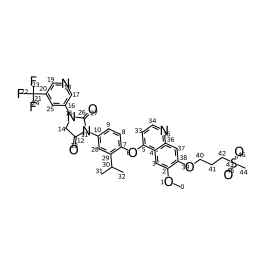 COc1cc2c(Oc3ccc(N4C(=O)CN(c5cncc(C(F)(F)F)c5)C4=O)cc3C(C)C)ccnc2cc1OCCCS(C)(=O)=O